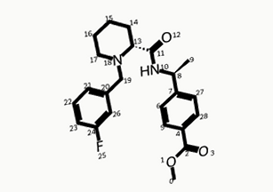 COC(=O)c1ccc([C@H](C)NC(=O)[C@H]2CCCCN2Cc2cccc(F)c2)cc1